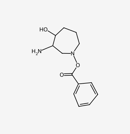 NC1CN(OC(=O)c2ccccc2)CCCC1O